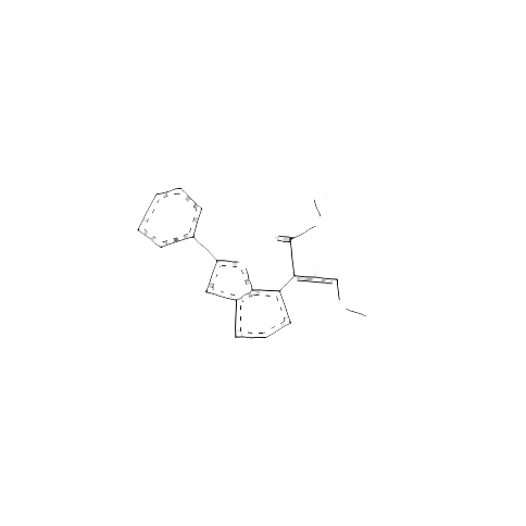 CO/C=C(/C(=O)OC)c1cccc2cc(-c3ccccc3)oc12